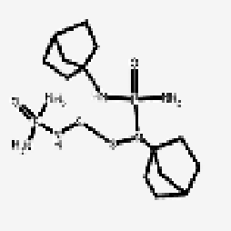 NP(N)(=O)NSSN(C12CCC(CC1)C2)P(N)(=O)NC12CCC(CC1)C2